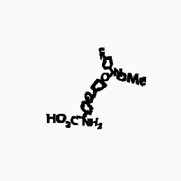 CO/N=C(\COc1ccc(COc2ccc(C(N)CC(=O)O)cc2)cc1)c1ccc(F)cc1